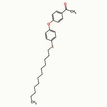 CCCCCCCCCCCCSc1ccc(Oc2ccc(C(C)=O)cc2)cc1